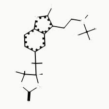 [2H]c1[nH]c2ccc(C([2H])([2H])[C@]3([2H])NC(=O)OC3([2H])[2H])cc2c1CCN(C)C([2H])([2H])[2H]